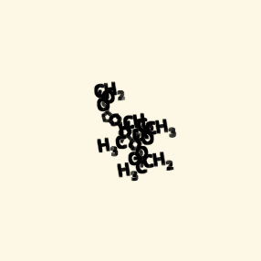 C=CC(=O)OCC1CCc2cc(-c3cc(C)c(-c4ccc(OC(=O)C(=C)C)cc4OC(=O)C(=C)C)cc3C)ccc21